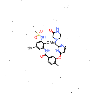 COc1c(NC(=O)c2ccc(C)c(Oc3ccnc(CN4CCNC(=O)C4)n3)c2)cc(C(C)(C)C)cc1NS(C)(=O)=O